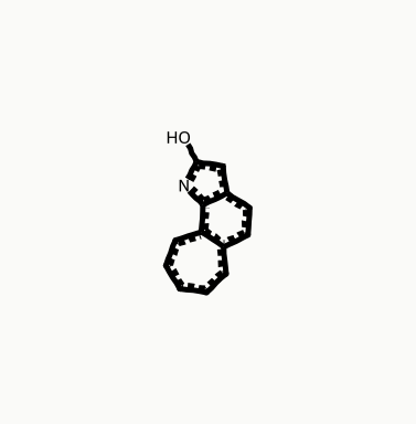 Oc1cc2ccc3cccccc3c2n1